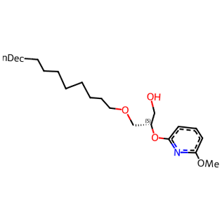 CCCCCCCCCCCCCCCCCCOC[C@H](CO)Oc1cccc(OC)n1